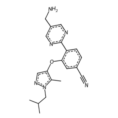 Cc1c(Oc2cc(C#N)ccc2-c2ncc(CN)cn2)cnn1CC(C)C